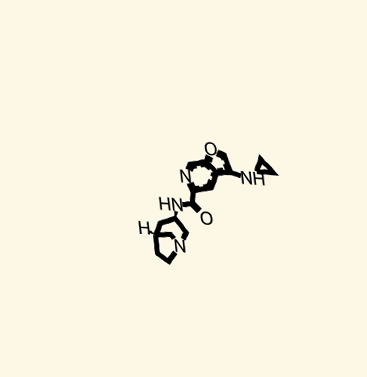 O=C(N[C@@H]1C[C@@H]2CCN(C2)C1)c1cc2c(NC3CC3)coc2cn1